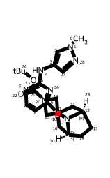 Cn1cc(Nc2nccc(N3C[C@H]4CC[C@@H](C3)N4C3CN(C(=O)OC(C)(C)C)C3)n2)cn1